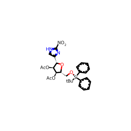 CC(=O)O[C@@H]1[C@H](OC(C)=O)[C@@H](CO[Si](c2ccccc2)(c2ccccc2)C(C)(C)C)O[C@H]1c1c[nH]c([N+](=O)[O-])n1